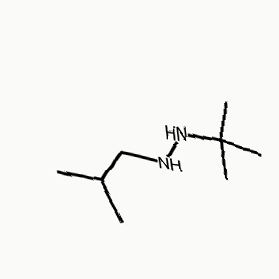 CC(C)CNNC(C)(C)C